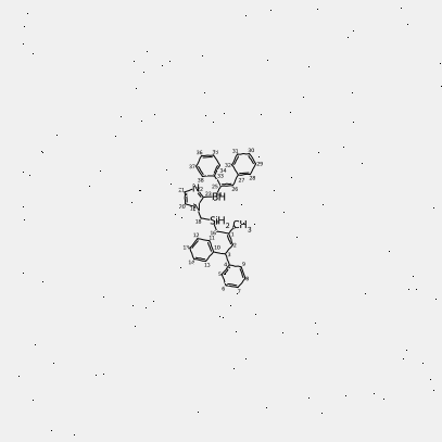 CC(=CC(c1ccccc1)c1ccccc1)C[SiH2]Cn1ccnc1BC(=Cc1ccccc1)c1ccccc1